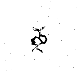 CN(C)N1C=CCc2c1cccc2[N+](=O)[O-]